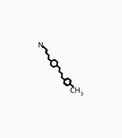 CCc1ccc(CCCCC2CCC(CCC=CC#N)CC2)cc1